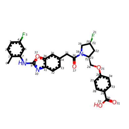 Cc1ccc(F)cc1Nc1nc2ccc(CC(=O)N3C[C@@H](F)C[C@H]3COc3ccc(C(=O)O)cc3)cc2o1